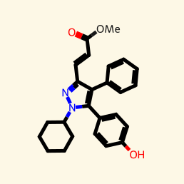 COC(=O)C=Cc1nn(C2CCCCC2)c(-c2ccc(O)cc2)c1-c1ccccc1